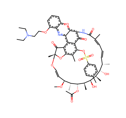 CCN(CC)CCOc1cccc2oc3c4c(=O)c5c(OS(=O)(=O)c6ccc(C)cc6)c(C)c6c(c5c-3nc12)C(=O)[C@@](C)(O/C=C/[C@H](OC)[C@@H](C)[C@@H](OC(C)=O)[C@H](C)[C@H](O)[C@H](C)[C@@H](O)[C@@H](C)/C=C/C=C(/C)C(=O)N4)O6